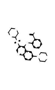 O=C(O)c1ccccc1Nc1c(S(=O)(=O)C2CNCCO2)cnc2ccc(N3CCOCC3)cc12